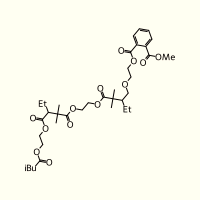 CCC(C)C(=O)OCCOC(=O)C(CC)C(C)(C)C(=O)OCCOC(=O)C(C)(C)C(CC)COCCOC(=O)c1ccccc1C(=O)OC